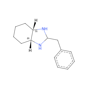 c1ccc(CC2N[C@H]3CCCC[C@H]3N2)cc1